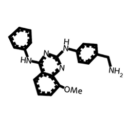 COc1cccc2c(Nc3ccccc3)nc(Nc3ccc(CN)cc3)nc12